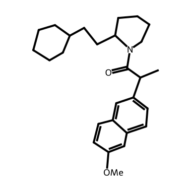 COc1ccc2cc(C(C)C(=O)N3CCCCC3CCC3CCCCC3)ccc2c1